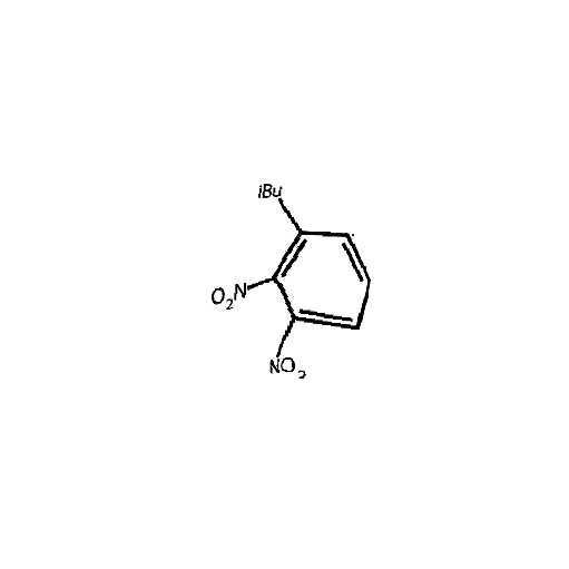 CCC(C)c1[c]ccc([N+](=O)[O-])c1[N+](=O)[O-]